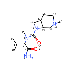 CC(C)[C@@H](C(N)=O)N(C)C(=O)N1CC2CCN(C)CC21